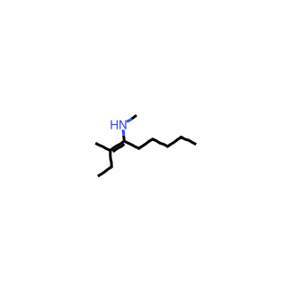 CCCCC/C(NC)=C(/C)CC